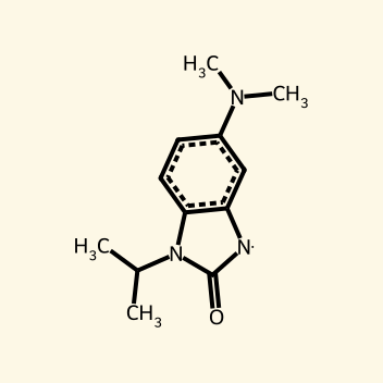 CC(C)N1C(=O)[N]c2cc(N(C)C)ccc21